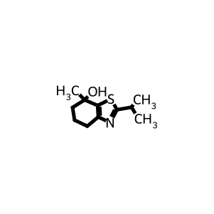 CC(C)c1nc2c(s1)C(C)(O)CCC2